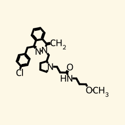 C=C1c2ccccc2C(Cc2ccc(Cl)cc2)=NN1CC1CCCN1CCC(=O)NCCCOC